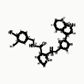 O=C(NCc1ccc(F)c(F)c1)c1cccnc1NCc1nc(-c2c[nH]c3ncccc23)cs1